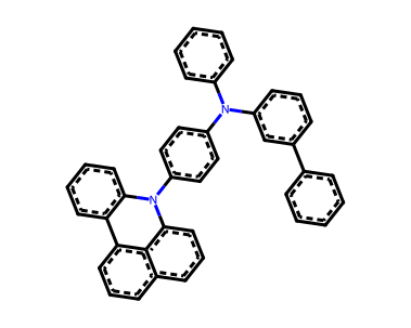 c1ccc(-c2cccc(N(c3ccccc3)c3ccc(N4c5ccccc5-c5cccc6cccc4c56)cc3)c2)cc1